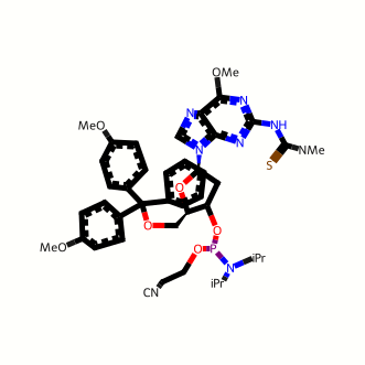 [C-]#[N+]CCOP(OC1C[C@H](n2cnc3c(OC)nc(NC(=S)NC)nc32)O[C@@H]1COC(c1ccccc1)(c1ccc(OC)cc1)c1ccc(OC)cc1)N(C(C)C)C(C)C